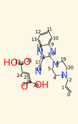 C=CCN1CCN(c2nc3ccccc3nc2C#N)CC1.O=C(O)C=CC(=O)O